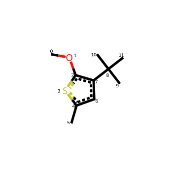 COc1sc(C)cc1C(C)(C)C